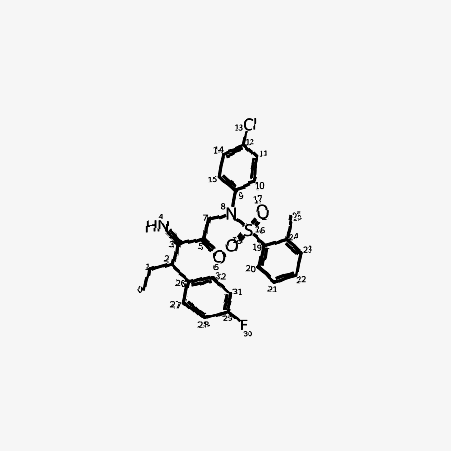 CCC(C(=N)C(=O)CN(c1ccc(Cl)cc1)S(=O)(=O)c1ccccc1C)c1ccc(F)cc1